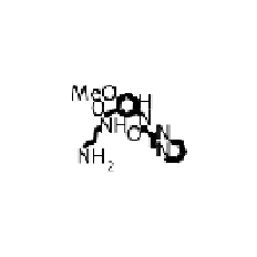 COc1ccc(NC(=O)c2cn3ccccc3n2)cc1C(=O)NCCCN